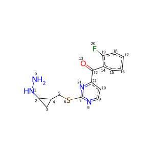 NNC1CC1CSc1nccc(C(=O)c2ccccc2F)n1